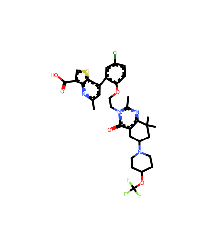 Cc1cc(-c2cc(Cl)ccc2OCCn2c(C)nc3c(c2=O)CC(N2CCC(OC(F)(F)F)CC2)CC3(C)C)c2scc(C(=O)O)c2n1